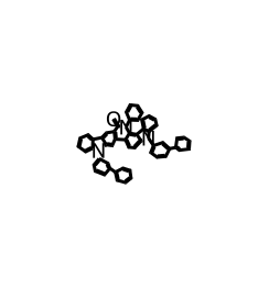 O=c1c2cc3c4ccccc4n(-c4cccc(-c5ccccc5)c4)c3cc2c2ccc3c(c4ccccc4n3-c3cccc(-c4ccccc4)c3)c2n1-c1ccccc1